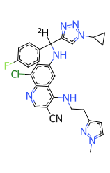 [2H]C(Nc1cc(Cl)c2ncc(C#N)c(NCCc3ccn(C)n3)c2c1)(c1ccc(F)cc1)c1cn(C2CC2)nn1